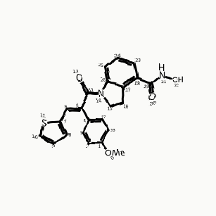 COc1ccc(C(=Cc2cccs2)C(=O)N2CCc3c(C(=O)NO)cccc32)cc1